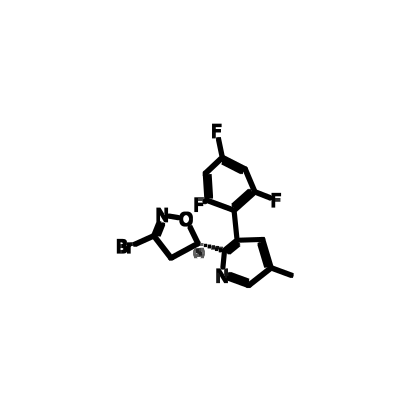 Cc1cnc([C@@H]2CC(Br)=NO2)c(-c2c(F)cc(F)cc2F)c1